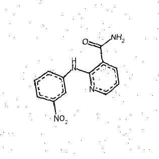 NC(=O)c1cccnc1Nc1cccc([N+](=O)[O-])c1